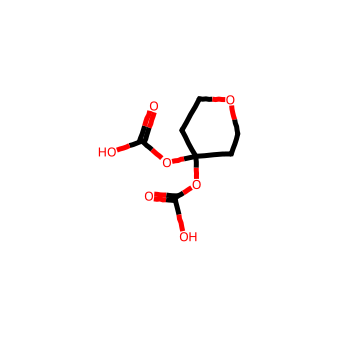 O=C(O)OC1(OC(=O)O)CCOCC1